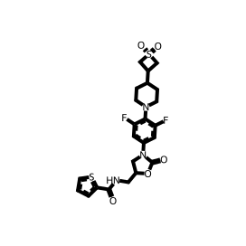 O=C(NCC1CN(c2cc(F)c(N3CCC(C4CS(=O)(=O)C4)CC3)c(F)c2)C(=O)O1)c1cccs1